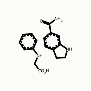 NC(=O)c1ccc2c(c1)NCC2.O=C(O)CNc1ccccc1